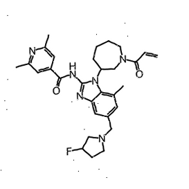 C=CC(=O)N1CCCCC(n2c(NC(=O)c3cc(C)nc(C)c3)nc3cc(CN4CCC(F)C4)cc(C)c32)C1